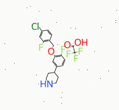 Fc1cc(Cl)ccc1COc1cc(C2CCNCC2)ccc1F.O=C(O)C(F)(F)F